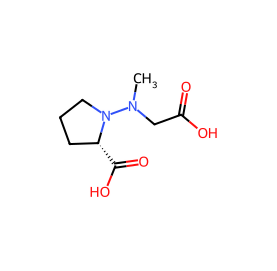 CN(CC(=O)O)N1CCC[C@H]1C(=O)O